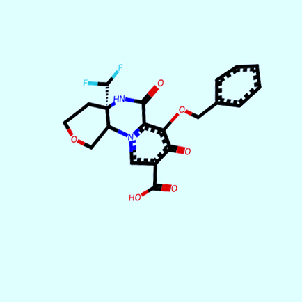 O=C(O)c1cn2c(c(OCc3ccccc3)c1=O)C(=O)N[C@]1(C(F)F)CCOCC21